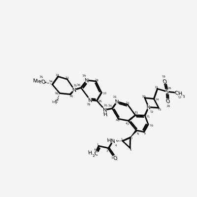 C=CC(=O)N[C@H]1C[C@@H]1c1ccc(N2CC(CS(C)(=O)=O)C2)c2cnc(Nc3ccnc(N4CC[C@@H](OC)[C@@H](F)C4)n3)cc12